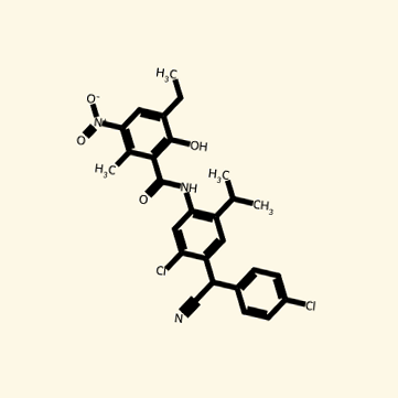 CCc1cc([N+](=O)[O-])c(C)c(C(=O)Nc2cc(Cl)c(C(C#N)c3ccc(Cl)cc3)cc2C(C)C)c1O